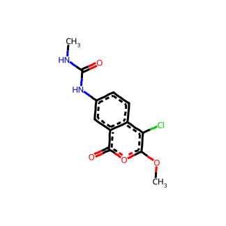 CNC(=O)Nc1ccc2c(Cl)c(OC)oc(=O)c2c1